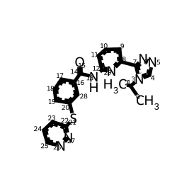 CC(C)n1cnnc1-c1cccc(NC(=O)c2cccc(Sc3cccnn3)c2)n1